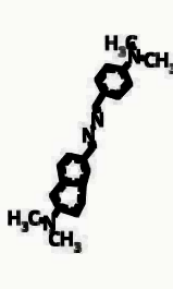 CN(C)c1ccc(/C=N/N=C/c2ccc3cc(N(C)C)ccc3c2)cc1